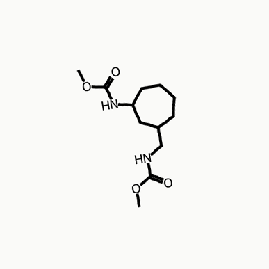 COC(=O)NCC1CCCCC(NC(=O)OC)C1